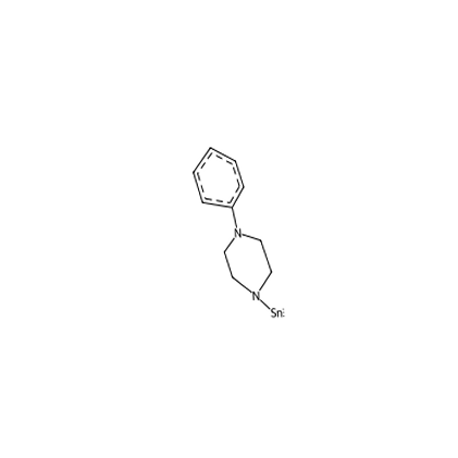 [Sn][N]1CCN(c2ccccc2)CC1